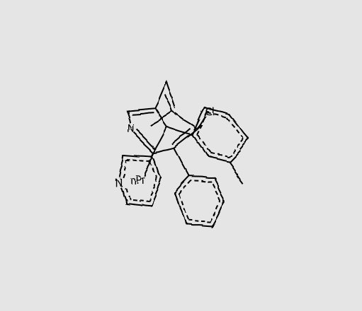 CCCC1=N/C=C(C(c2cccnc2)c2cccc(C)c2)/C=C(C)/C(Cl)=C\1c1ccccc1